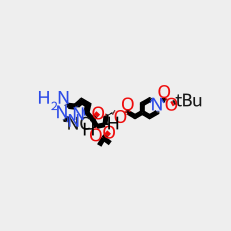 CC(C)(C)OC(=O)N1CCC(CC(=O)OC[C@H]2O[C@@](C#N)(c3ccc4c(N)ncnn34)[C@@H]3OC(C)(C)O[C@@H]32)CC1